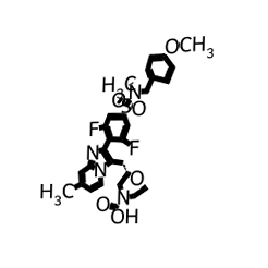 COc1ccc(CN(C)S(=O)(=O)c2cc(F)c(-c3nc4cc(C)ccn4c3C[C@H]3CN(C(=O)O)CCO3)c(F)c2)cc1